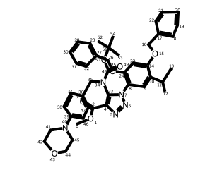 COC(=O)c1nnn(-c2cc(C(C)C)c(OCc3ccccc3)cc2OCc2ccccc2)c1N(Cc1ccc(N2CCOCC2)cc1)C(=O)OC(C)(C)C